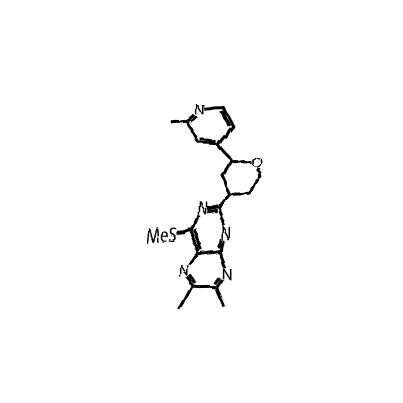 CSc1nc(C2CCOC(c3ccnc(C)c3)C2)nc2nc(C)c(C)nc12